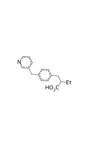 CCC(Cc1ccc(Cc2cccnc2)cc1)C(=O)O